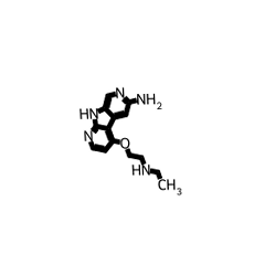 CCNCCOc1ccnc2[nH]c3cnc(N)cc3c12